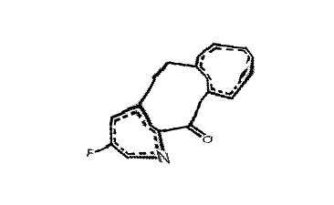 O=C1c2ccccc2CCc2cc(F)cnc21